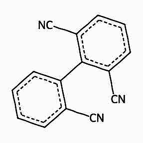 N#Cc1ccccc1-c1c(C#N)cccc1C#N